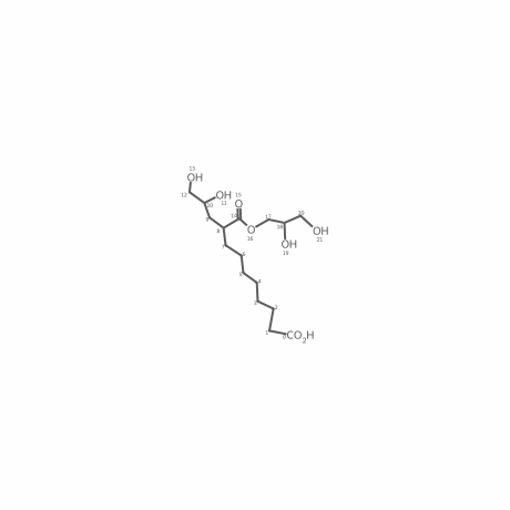 O=C(O)CCCCCCCC(CC(O)CO)C(=O)OCC(O)CO